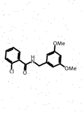 COc1cc(CNC(=O)c2ccccc2Cl)cc(OC)c1